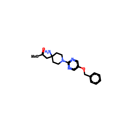 COC(=O)CC1(N)CCN(c2ncc(OCc3ccccc3)cn2)CC1